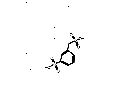 O=S(=O)(O)Cc1cccc(S(=O)(=O)O)c1